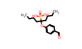 CCCCC(CCCC)(Oc1ccc(C=O)cc1)P(=O)(O)O